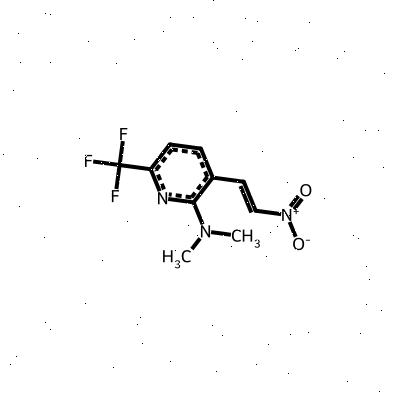 CN(C)c1nc(C(F)(F)F)ccc1C=C[N+](=O)[O-]